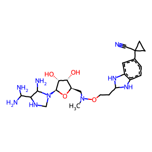 CN(C[C@H]1O[C@@H](N2CNC(C(N)N)C2N)[C@H](O)[C@@H]1O)OCCC1Nc2ccc(C3(C#N)CC3)cc2N1